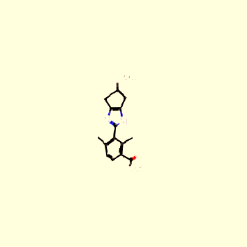 COC(=O)c1ccc(C)c(-c2nc3c([nH]2)CC(OC)C3)c1C